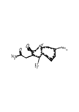 NC(=O)Cc1c(C(F)(F)F)c2ccc(N)cc2[nH]c1=O